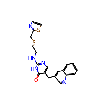 O=c1[nH]c(NCCSCc2nccs2)ncc1Cc1cnc2ccccc2c1